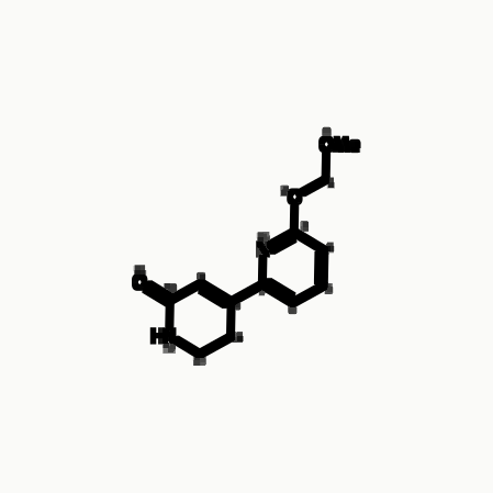 COCOc1cccc(C2=CC(=O)NCC2)n1